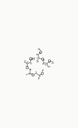 COC(C)COC(C)COC(C)CO.COCC(C)OCC(C)OC